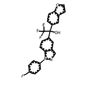 OC(c1ccc2occc2c1)(c1ccc2c(cnn2-c2ccc(F)cc2)c1)C(F)(F)F